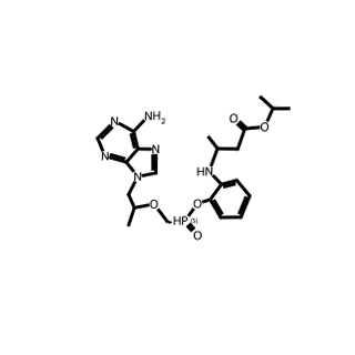 CC(CC(=O)OC(C)C)Nc1ccccc1O[P@H](=O)COC(C)Cn1cnc2c(N)ncnc21